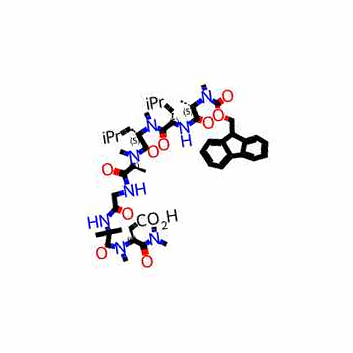 CC(C)C[C@H](NC(=O)[C@H](C)N(C)C(=O)OCC1c2ccccc2-c2ccccc21)C(=O)N(C)[C@@H](CC(C)C)C(=O)N(C)[C@@H](C)C(=O)NCC(=O)NC(C)(C)C(=O)N(C)[C@@H](CC(=O)O)C(=O)N(C)C